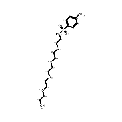 O=[N+]([O-])c1ccc(S(=O)(=O)NCCOCCOCCOCCOCCO)cc1